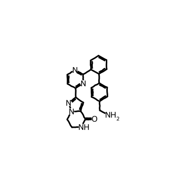 NCc1ccc(-c2ccccc2-c2nccc(-c3cc4n(n3)CCNC4=O)n2)cc1